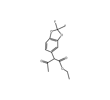 CCOC(=O)C(C(C)=O)c1ccc2c(c1)OC(F)(F)O2